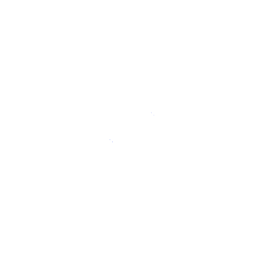 CC(C)C(C)N1CC(N2CCOCC2)C1